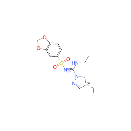 CCN/C(=N\S(=O)(=O)c1ccc2c(c1)OCO2)N1C[C@H](CC)C=N1